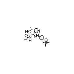 C=CC(=O)NCc1nn(-c2ccc(OC(F)(F)F)cc2)c2nccc([C@H](C)O)c12